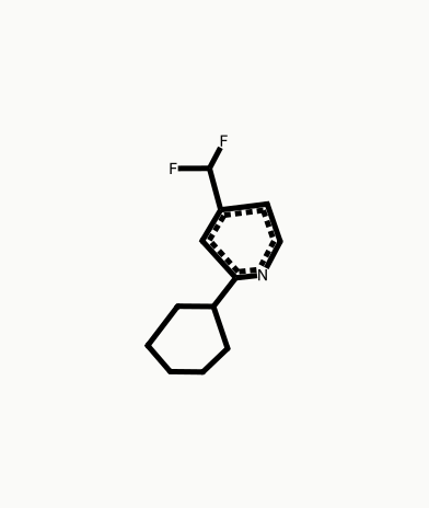 FC(F)c1ccnc(C2CCCCC2)c1